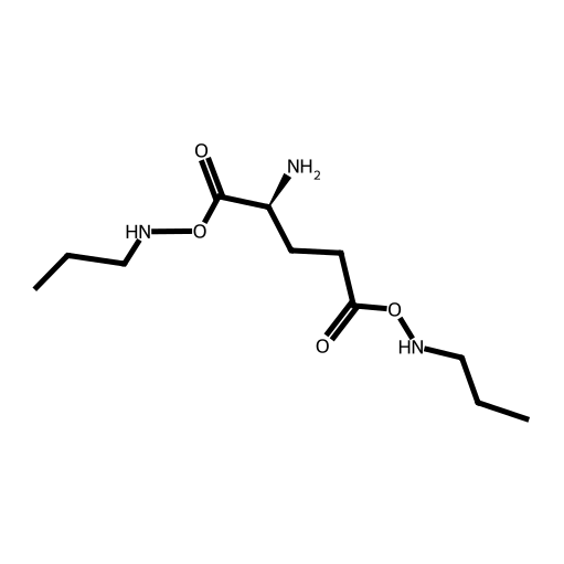 CCCNOC(=O)CC[C@H](N)C(=O)ONCCC